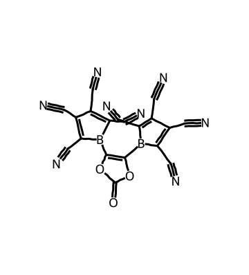 N#CC1=C(C#N)C(C#N)=C(C#N)B1c1oc(=O)oc1B1C(C#N)=C(C#N)C(C#N)=C1C#N